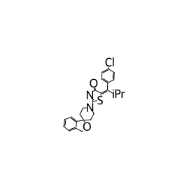 CC(C)/C(=C1\SC(N2CCC3(CC2)OCc2ccccc23)=NC1=O)c1ccc(Cl)cc1